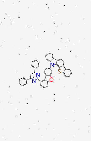 c1ccc(C2=NC(c3cccc4oc5cc(-n6c7ccccc7c7ccc8c9ccccc9sc8c76)ccc5c34)=NC(c3ccccc3)C2)cc1